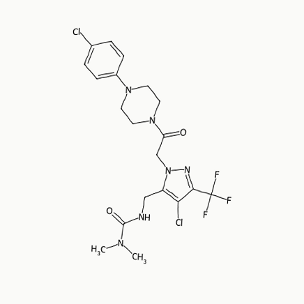 CN(C)C(=O)NCc1c(Cl)c(C(F)(F)F)nn1CC(=O)N1CCN(c2ccc(Cl)cc2)CC1